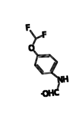 O=[C]Nc1ccc(OC(F)F)cc1